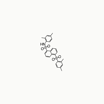 Cc1ccc(NS(=O)(=O)c2cccc3c(S(=O)(=O)c4ccc(C)cc4C)cccc23)c(C)c1